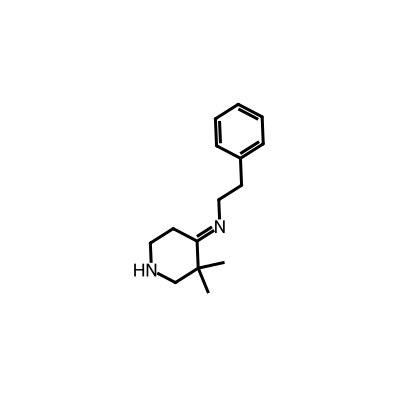 CC1(C)CNCCC1=NCCc1ccccc1